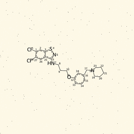 Clc1cc2snc(NCCCOc3cccc(CN4CCCCC4)c3)c2cc1Cl